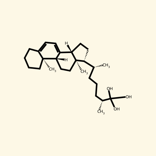 C[C@H](CCC[C@@H](C)C(O)(O)O)[C@H]1CC[C@H]2C3=CC=C4CCCC[C@]4(C)[C@H]3CC[C@]12C